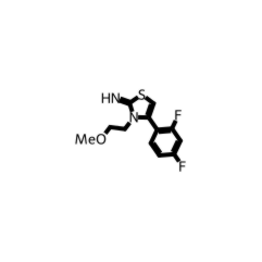 COCCn1c(-c2ccc(F)cc2F)csc1=N